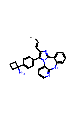 CC(C)(C)/C=C/c1nc2n(c1-c1ccc(C3(N)CCC3)cc1)-c1cccnc1Nc1ccccc1-2